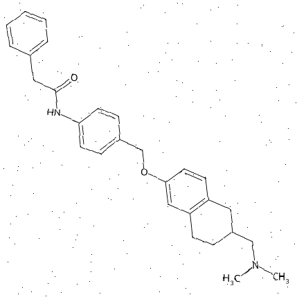 CN(C)CC1CCc2cc(OCc3ccc(NC(=O)Cc4ccccc4)cc3)ccc2C1